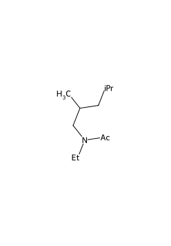 CCN(CC(C)CC(C)C)C(C)=O